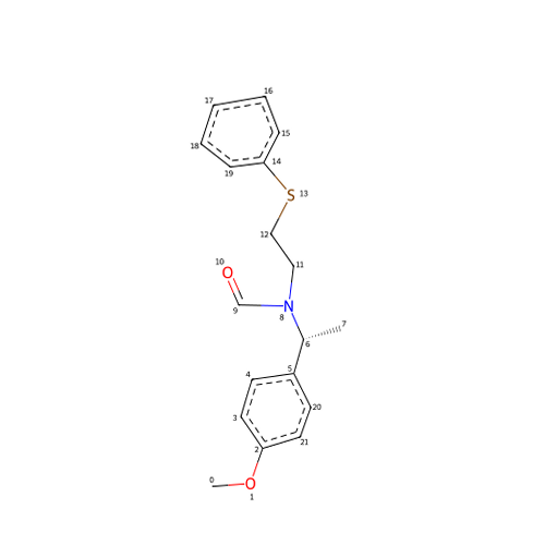 COc1ccc([C@@H](C)N(C=O)CCSc2ccccc2)cc1